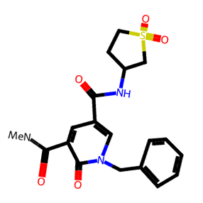 CNC(=O)c1cc(C(=O)NC2CCS(=O)(=O)C2)cn(Cc2ccccc2)c1=O